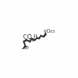 CCCCCCCC/C=C\CCCCCCC(CC1CO1)C(=O)O